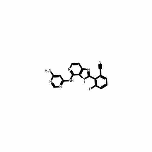 N#Cc1cccc(F)c1-c1nc2ccnc(Nc3cc(N)ncn3)c2[nH]1